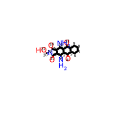 Nc1c2c(=O)c3ccccc3c(=O)c2c(N)c2c(=O)n(CO)c(=O)c12